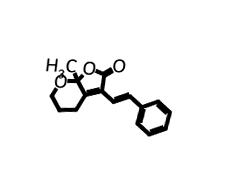 CC12OCCCC1=C(/C=C/c1ccccc1)C(=O)O2